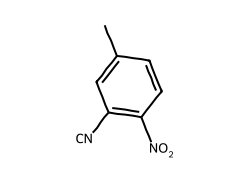 [C-]#[N+]c1cc(C)ccc1[N+](=O)[O-]